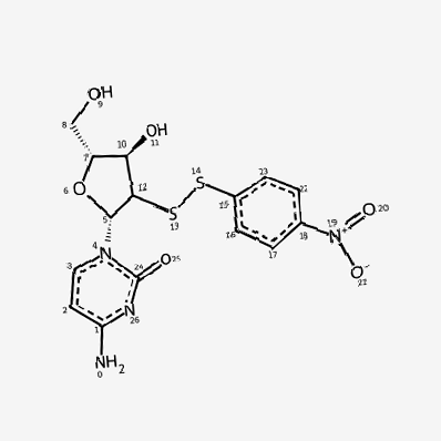 Nc1ccn([C@@H]2O[C@H](CO)[C@@H](O)C2SSc2ccc([N+](=O)[O-])cc2)c(=O)n1